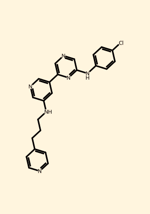 Clc1ccc(Nc2cncc(-c3cncc(NCCCc4ccncc4)c3)n2)cc1